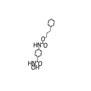 O=C(Nc1ccc(C(=O)NO)cc1)OCCCc1ccccc1